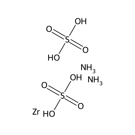 N.N.O=S(=O)(O)O.O=S(=O)(O)O.[Zr]